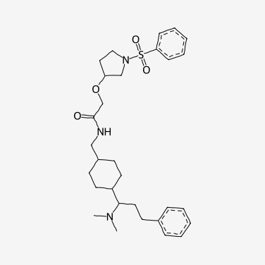 CN(C)C(CCc1ccccc1)C1CCC(CNC(=O)COC2CCN(S(=O)(=O)c3ccccc3)C2)CC1